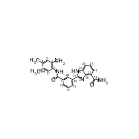 Cc1cc(N)c(NC(=O)c2cccc(-c3nc4c(C(N)=O)cccc4[nH]3)c2)cc1C